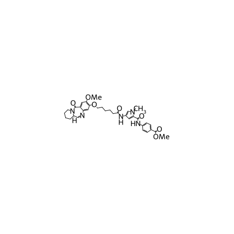 COC(=O)c1ccc(NC(=O)c2cc(NC(=O)CCCCCOc3cc4c(cc3OC)C(=O)N3CCCC[C@@H]3C=N4)cn2C)cc1